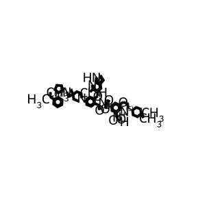 CC(C)c1ccccc1[C@H]1CCC[C@@H]1N1CC2(CCN(c3ccc(C(=O)NS(=O)(=O)c4cc5c(c([N+](=O)[O-])c4)N[C@@H](C4CCC(C)(C)CC4)CO5)c(Oc4cc5cc[nH]c5nc4Cl)c3)CC2)C1